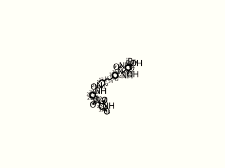 CC(C)c1cc(C(=N)N(C(N)=O)c2ccc(CCC3CCN(C(=O)Nc4cccc5c4CN(C4CCC(=O)NC4=O)C5=O)CC3)cc2)c(O)cc1O